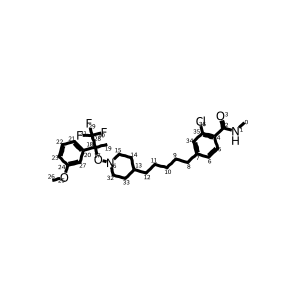 CNC(=O)c1ccc(CCCCCC2CCN(OC(C)(c3cccc(OC)c3)C(F)(F)F)CC2)cc1Cl